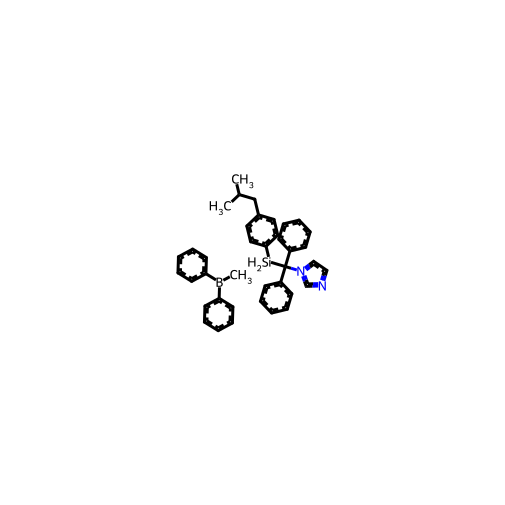 CB(c1ccccc1)c1ccccc1.CC(C)Cc1ccc([SiH2]C(c2ccccc2)(c2ccccc2)n2ccnc2)cc1